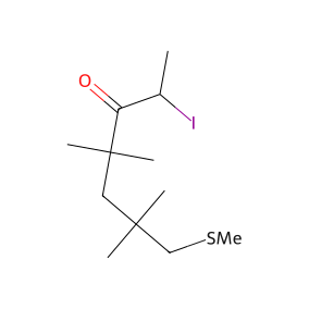 CSCC(C)(C)CC(C)(C)C(=O)C(C)I